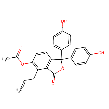 C=CCc1c(OC(C)=O)ccc2c1C(=O)OC2(c1ccc(O)cc1)c1ccc(O)cc1